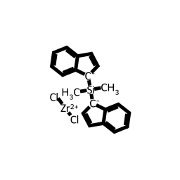 C[Si](C)([c-]1ccc2ccccc21)[c-]1ccc2ccccc21.[Cl][Zr+2][Cl]